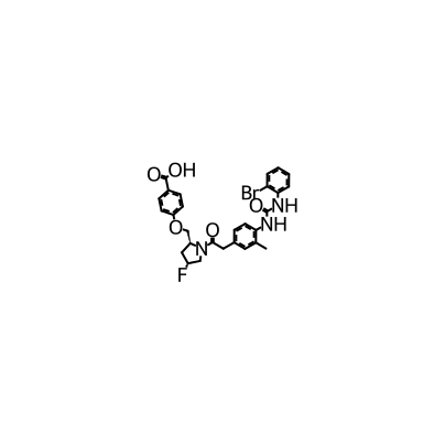 Cc1cc(CC(=O)N2C[C@@H](F)C[C@H]2COc2ccc(C(=O)O)cc2)ccc1NC(=O)Nc1ccccc1Br